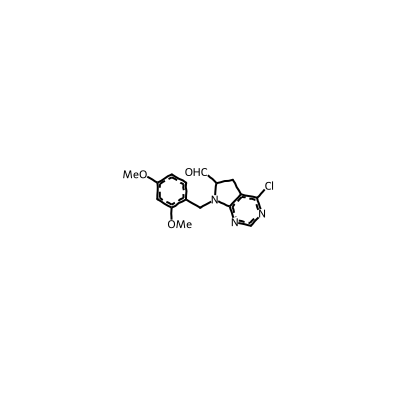 COc1ccc(CN2c3ncnc(Cl)c3CC2C=O)c(OC)c1